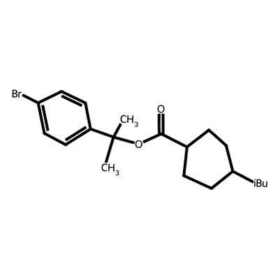 CCC(C)C1CCC(C(=O)OC(C)(C)c2ccc(Br)cc2)CC1